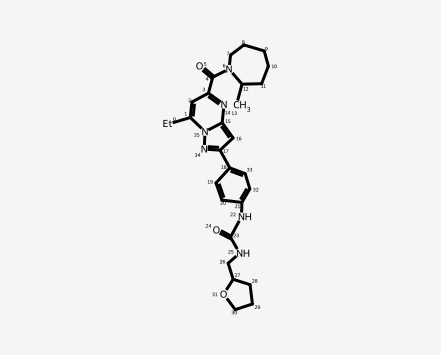 CCc1cc(C(=O)N2CCCCCC2C)nc2cc(-c3ccc(NC(=O)NCC4CCCO4)cc3)nn12